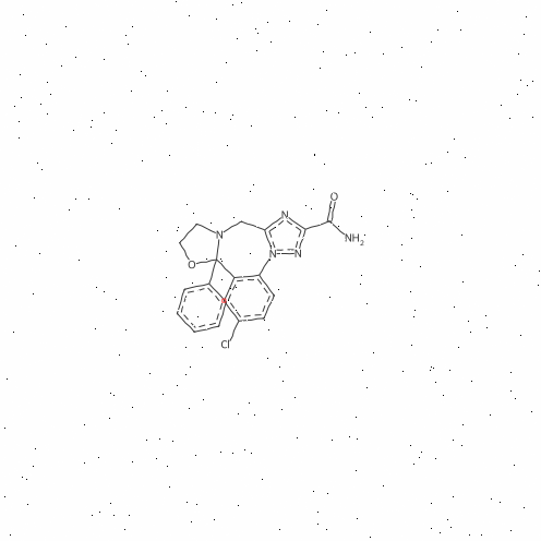 NC(=O)c1nc2n(n1)-c1ccc(Cl)cc1C1(c3ccccc3)OCCN1C2